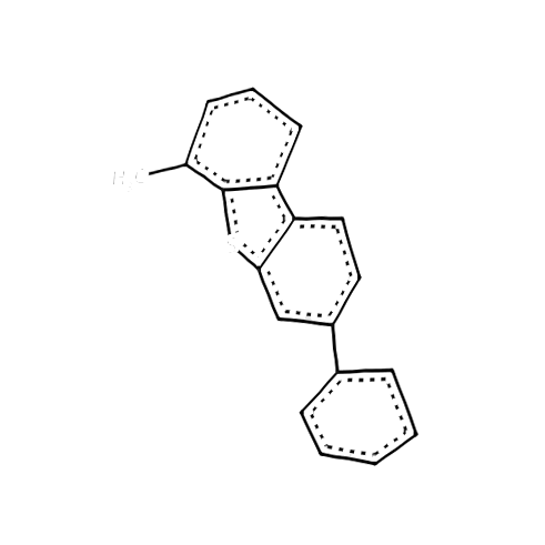 Cc1cccc2c1sc1cc(-c3ccccc3)ccc12